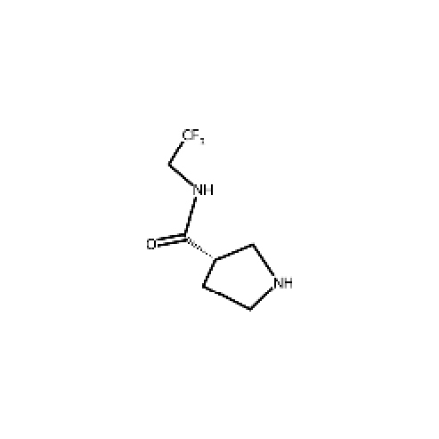 O=C(NCC(F)(F)F)[C@H]1CCNC1